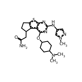 CN(C)C1CCC(Oc2nc(Nc3cnn(C)c3)nc3sc4c(c23)C(CC(N)=O)CC4)CC1